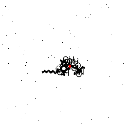 CCCCCCCC(=O)O[C@@]12C[C@@H](C)C34C=C(C)C(O)C3(O)C(O)C(COC(=O)c3c(CC)noc3CC)=CC(C4=O)[C@@H]1C2(C)C